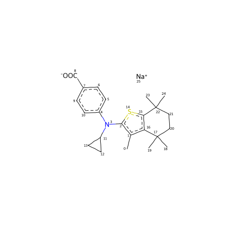 Cc1c(N(c2ccc(C(=O)[O-])cc2)C2CC2)sc2c1C(C)(C)CCC2(C)C.[Na+]